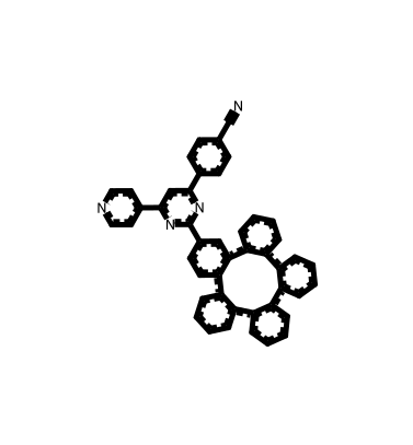 N#Cc1ccc(-c2cc(-c3ccncc3)nc(-c3ccc4c5ccccc5c5ccccc5c5ccccc5c5ccccc5c4c3)n2)cc1